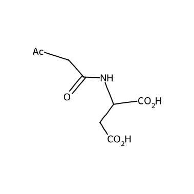 CC(=O)CC(=O)NC(CC(=O)O)C(=O)O